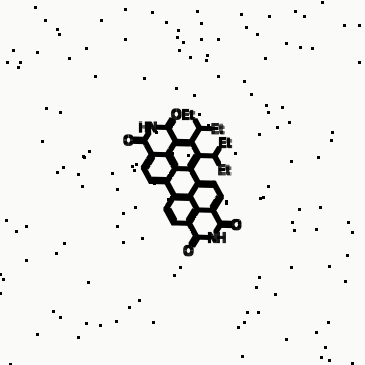 CCC(CC)c1c2c3c(ccc4c5ccc6c7c(ccc(c(c1C(CC)CC)c34)c75)C(=O)NC6=O)C(=O)NC2=O